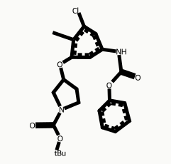 Cc1c(Cl)cc(NC(=O)Oc2ccccc2)cc1OC1CCN(C(=O)OC(C)(C)C)C1